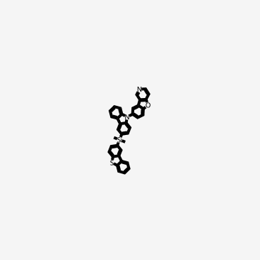 C[Si](C)(c1ccc2sc3ccccc3c2c1)c1ccc2c(c1)c1ccccc1n2-c1ccc2oc3ccncc3c2c1